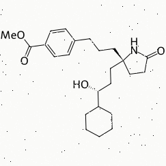 COC(=O)c1ccc(CCC[C@]2(CC[C@@H](O)C3CCCCC3)CCC(=O)N2)cc1